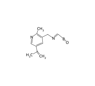 C=C(C)c1cnc(C)c(CN=CB=O)c1